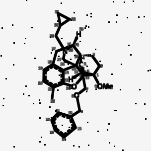 COC12CC[C@@]3(C[C@H]1COCc1ccccc1)[C@H]1Cc4ccc(C)c5c4[C@@]3(CCN1CC1CC1)[C@H]2O5